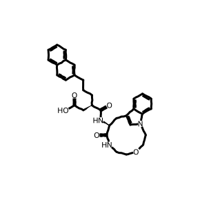 O=C(O)C[C@@H](CCCc1ccc2ccccc2c1)C(=O)N[C@H]1Cc2cn(c3ccccc23)CCOCCNC1=O